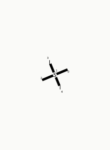 CS(C)(I)I